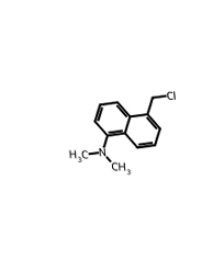 CN(C)c1cccc2c(CCl)cccc12